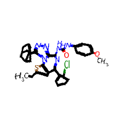 CCc1cc2c(s1)-n1c(nnc1C13CC4CC(CC(C4)C1)C3)C(NC(=O)Nc1ccc(OC)cc1)N=C2c1ccccc1Cl